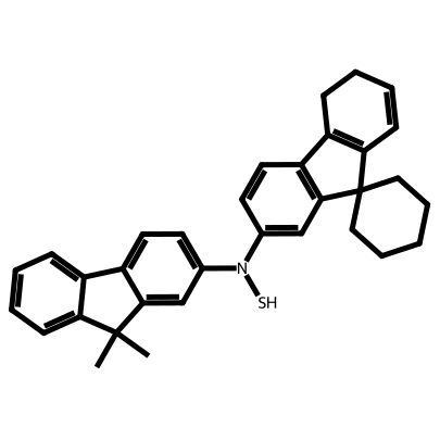 CC1(C)c2ccccc2-c2ccc(N(S)c3ccc4c(c3)C3(CCCCC3)C3=C4CCC=C3)cc21